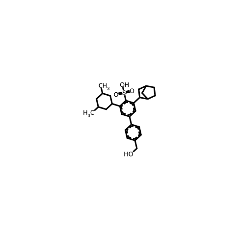 CC1CC(C)CC(c2cc(-c3ccc(CO)cc3)cc(C3CC4CCC3C4)c2S(=O)(=O)O)C1